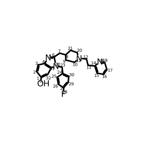 Oc1ccc2nc(CC3CCN(CCc4ccccn4)CC3)n(Cc3ccc(F)cc3)c2c1